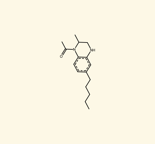 CCCCCc1ccc2c(c1)NCC(C)N2C(C)=O